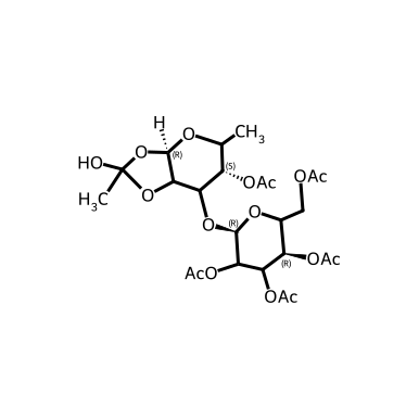 CC(=O)OCC1O[C@H](OC2C3OC(C)(O)O[C@H]3OC(C)[C@@H]2OC(C)=O)C(OC(C)=O)C(OC(C)=O)[C@@H]1OC(C)=O